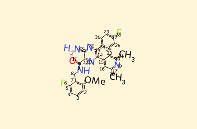 COc1cccc(F)c1CNC(=O)c1nc(-c2cc(C)nc(C)c2)c(-c2ccc(F)cc2)nc1N